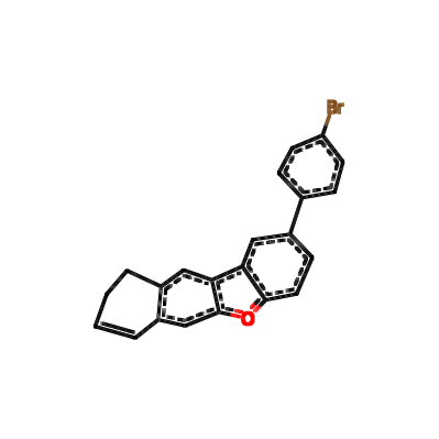 Brc1ccc(-c2ccc3oc4cc5c(cc4c3c2)CCC=C5)cc1